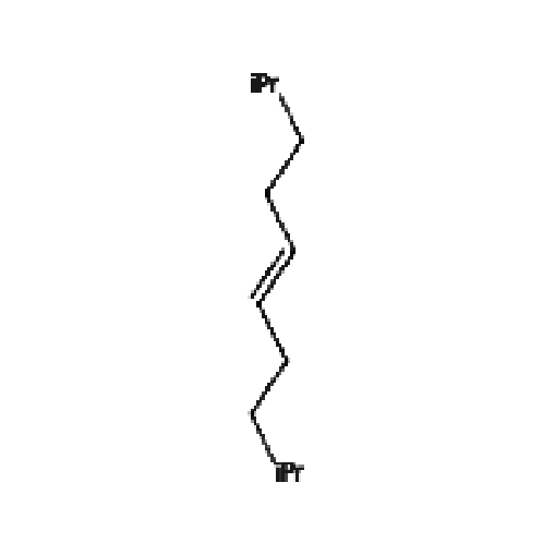 CC(C)CCC=CCCC(C)C